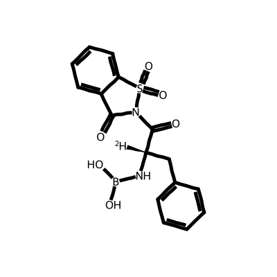 [2H][C@@](Cc1ccccc1)(NB(O)O)C(=O)N1C(=O)c2ccccc2S1(=O)=O